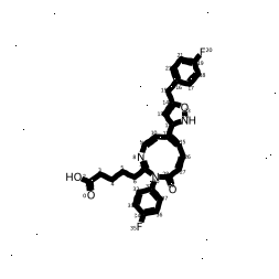 O=C(O)CCCCc1nccc(C2C=C(Cc3ccc(F)cc3)ON2)cccc(=O)n1-c1ccc(F)cc1